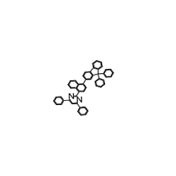 c1ccc(-c2cc(-c3ccccc3)nc(-c3ccc(-c4ccc5c(c4)C(c4ccccc4)(c4ccccc4)c4ccccc4-5)c4ccccc34)n2)cc1